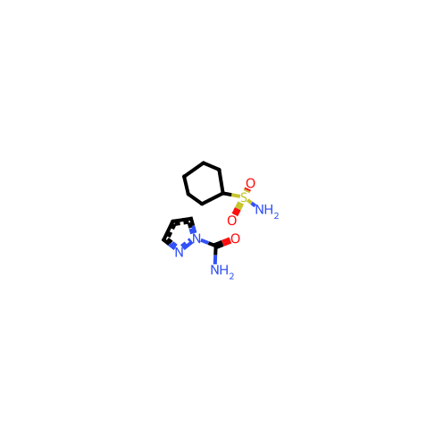 NC(=O)n1cccn1.NS(=O)(=O)C1CCCCC1